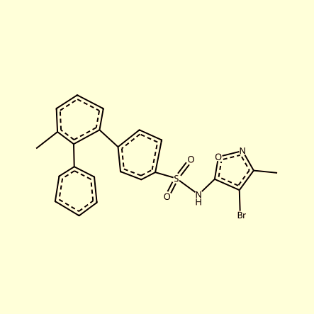 Cc1cccc(-c2ccc(S(=O)(=O)Nc3onc(C)c3Br)cc2)c1-c1ccccc1